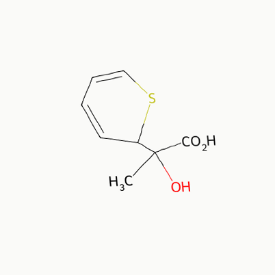 CC(O)(C(=O)O)C1C=CC=CS1